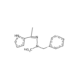 CC(=NN(Cc1ccccc1)C(=O)O)c1ccc[nH]1